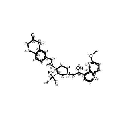 COc1ccc2nccc([C@@H](O)CN3CC[C@H](NCc4ccc5c(c4)NC(=O)CS5)[C@@H](C(F)(F)F)C3)c2n1